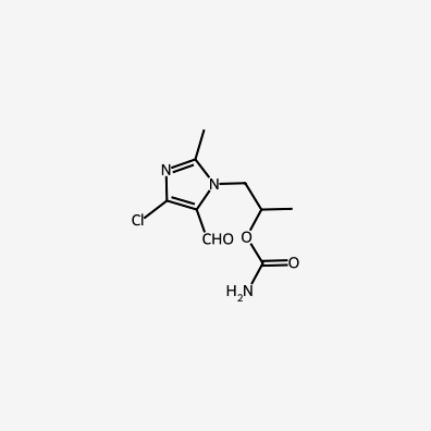 Cc1nc(Cl)c(C=O)n1CC(C)OC(N)=O